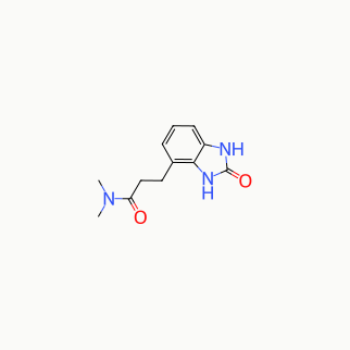 CN(C)C(=O)CCc1cccc2[nH]c(=O)[nH]c12